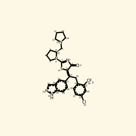 O=C1N=C(N2CCC[C@H]2CN2CCCC2)SC1=C(Cc1ccc(Cl)cc1C(F)(F)F)c1ccc2[nH]ncc2c1